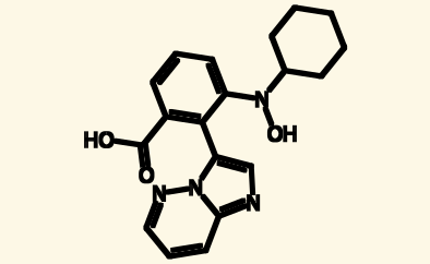 O=C(O)c1cccc(N(O)C2CCCCC2)c1-c1cnc2cccnn12